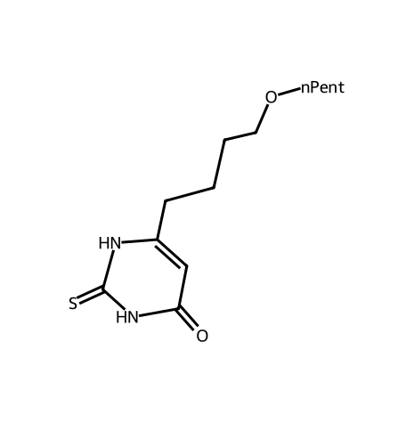 CCCCCOCCCCc1cc(=O)[nH]c(=S)[nH]1